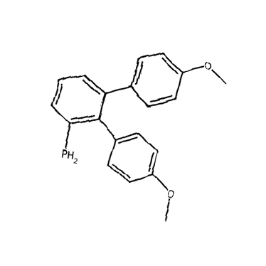 COc1ccc(-c2cccc(P)c2-c2ccc(OC)cc2)cc1